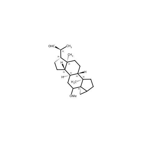 COC1C[C@H]2[C@@H]3CC[C@H]([C@H](C)C=O)[C@@]3(C)CC[C@@H]2[C@@]2(C)CCC3C[C@]312